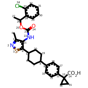 Cc1nsc(C2CCC(c3ccc(C4(C(=O)O)CC4)cc3)CC2)c1NC(=O)OC(C)c1ccccc1Cl